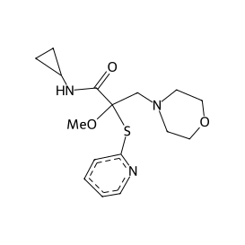 COC(CN1CCOCC1)(Sc1ccccn1)C(=O)NC1CC1